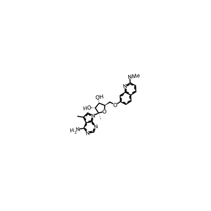 CNc1ccc2ccc(OC[C@H]3O[C@@](C)(n4cc(C)c5c(N)ncnc54)[C@H](O)[C@@H]3O)cc2n1